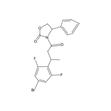 CC(CC(=O)N1C(=O)OCC1c1ccccc1)c1c(F)cc(Br)cc1F